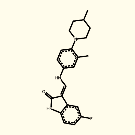 Cc1cc(NC=C2C(=O)Nc3ccc(F)cc32)ccc1N1CCC(C)CC1